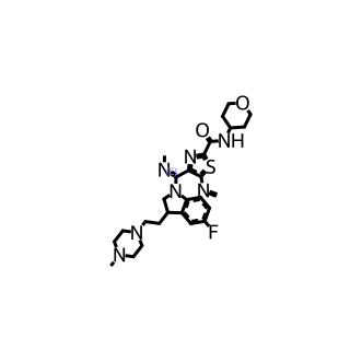 C=Nc1sc(C(=O)NC2CCOCC2)nc1/C(=N\C)N1CC(CCN2CCN(C)CC2)c2cc(F)ccc21